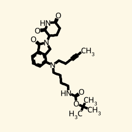 CC#CCCN(CCCCNC(=O)OC(C)(C)C)c1cccc2c1CN(C1CCC(=O)NC1=O)C2=O